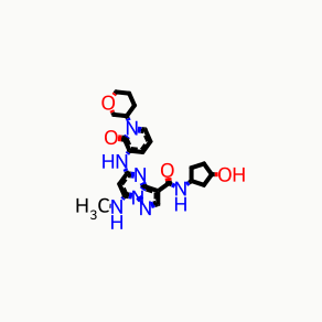 CNc1cc(Nc2cccn(C3CCCOC3)c2=O)nc2c(C(=O)NC3CCC(O)C3)cnn12